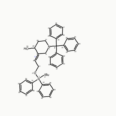 CC(C)(C)[Si](OC/C=C1\CN(C(c2ccccc2)(c2ccccc2)c2ccccc2)CCC1O)(c1ccccc1)c1ccccc1